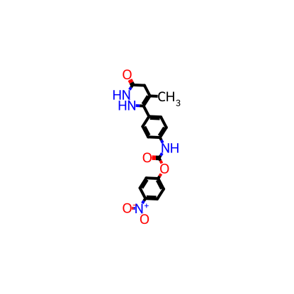 CC1=C(c2ccc(NC(=O)Oc3ccc([N+](=O)[O-])cc3)cc2)NNC(=O)C1